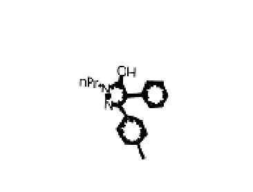 CCCn1nc(-c2ccc(C)cc2)c(-c2ccccc2)c1O